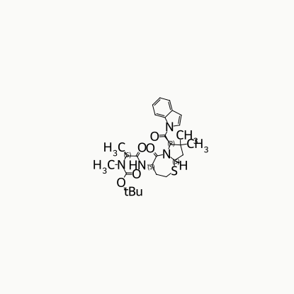 C[C@@H](C(=O)N[C@H]1CCS[C@H]2CC(C)(C)[C@H](C(=O)n3ccc4ccccc43)N2C1=O)N(C)C(=O)OC(C)(C)C